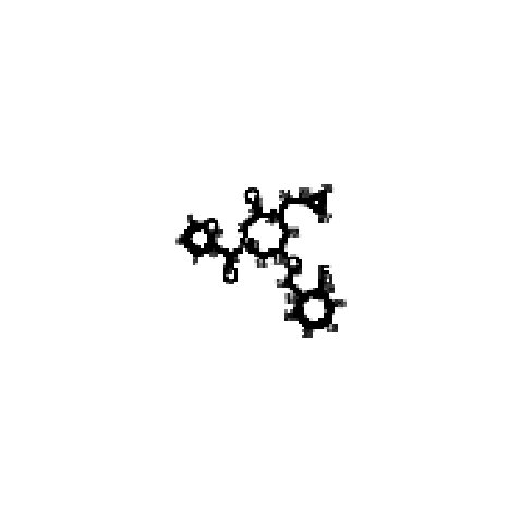 O=C1CN(C(=O)c2ccco2)CC(OCc2ccccc2F)CN1CC1CC1